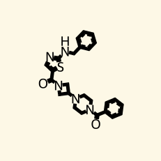 O=C(c1ccccc1)N1CCN(C2CN(C(=O)c3cnc(NCc4ccccc4)s3)C2)CC1